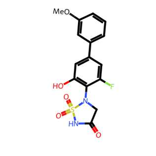 COc1cccc(-c2cc(O)c(N3CC(=O)NS3(=O)=O)c(F)c2)c1